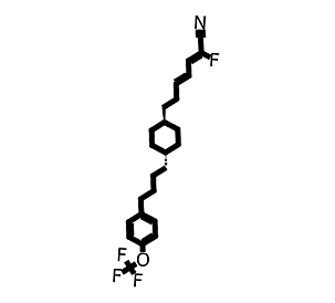 N#CC(F)=CC=CCC[C@H]1CC[C@H](CCCCc2ccc(OC(F)(F)F)cc2)CC1